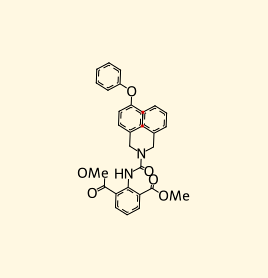 COC(=O)c1cccc(C(=O)OC)c1NC(=O)N(Cc1ccccc1)Cc1ccc(Oc2ccccc2)cc1